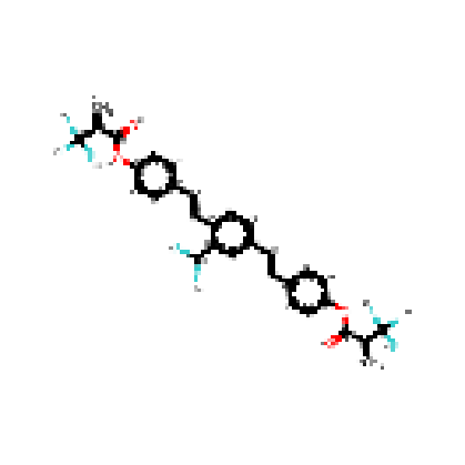 C=C(C(=O)Oc1ccc(/C=C/c2ccc(/C=C/c3ccc(OC(=O)C(=C)C(F)(F)F)cc3)c(C(F)F)c2)cc1)C(F)(F)F